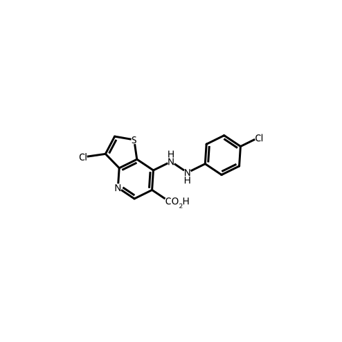 O=C(O)c1cnc2c(Cl)csc2c1NNc1ccc(Cl)cc1